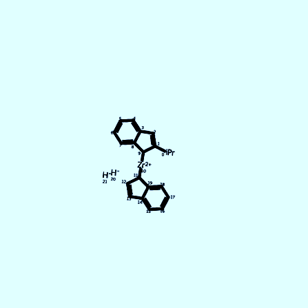 CC(C)C1=Cc2ccccc2[CH]1[Zr+2][CH]1C=Cc2ccccc21.[H-].[H-]